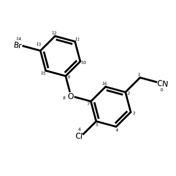 N#CCc1ccc(Cl)c(Oc2cccc(Br)c2)c1